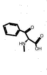 CN[C@H](C(=O)O)C(=O)c1ccccc1